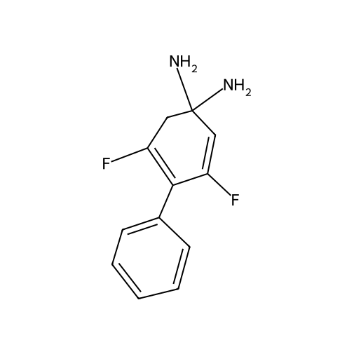 NC1(N)C=C(F)C(c2ccccc2)=C(F)C1